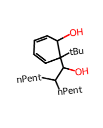 CCCCCC(CCCCC)C(O)C1(C(C)(C)C)C=CC=CC1O